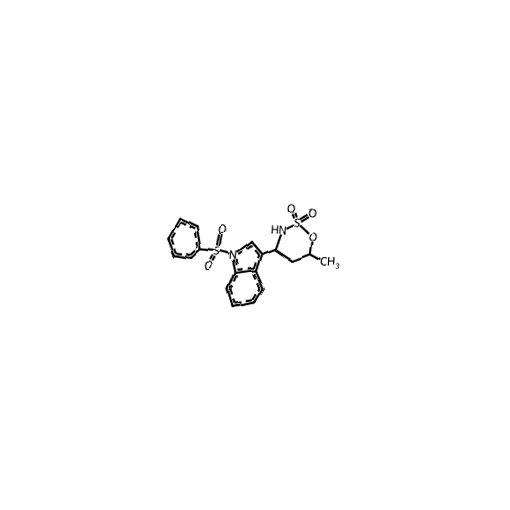 CC1CC(c2cn(S(=O)(=O)c3ccccc3)c3ccccc23)NS(=O)(=O)O1